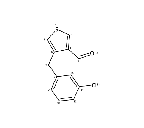 O=Cc1cscc1Cc1cccc(Cl)c1